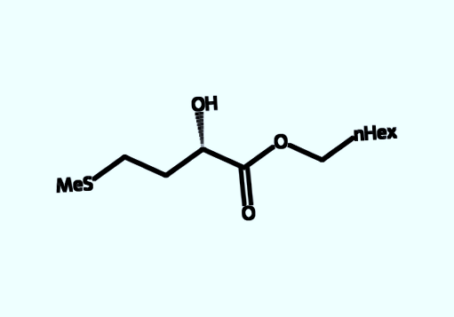 CCCCCCCOC(=O)[C@@H](O)CCSC